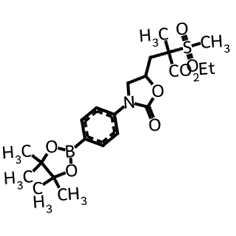 CCOC(=O)C(C)(CC1CN(c2ccc(B3OC(C)(C)C(C)(C)O3)cc2)C(=O)O1)S(C)(=O)=O